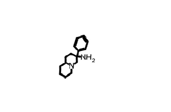 NC1(c2ccccc2)CCC2CCCCN2C1